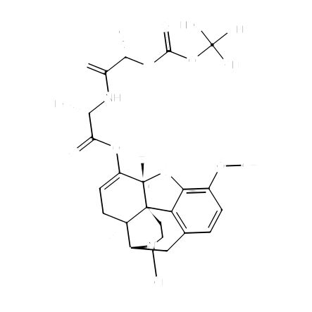 COc1ccc2c3c1O[C@H]1C(OC(=O)[C@H](C)NC(=O)[C@H](C)OC(=O)OC(C)(C)C)=CC[C@]4(O)C(C2)N(C)CC[C@]314